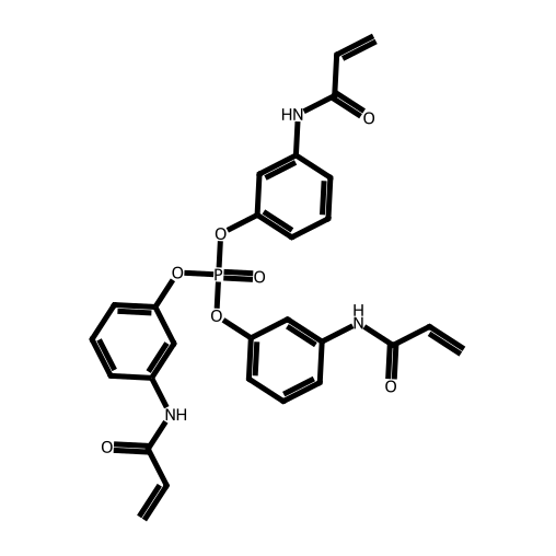 C=CC(=O)Nc1cccc(OP(=O)(Oc2cccc(NC(=O)C=C)c2)Oc2cccc(NC(=O)C=C)c2)c1